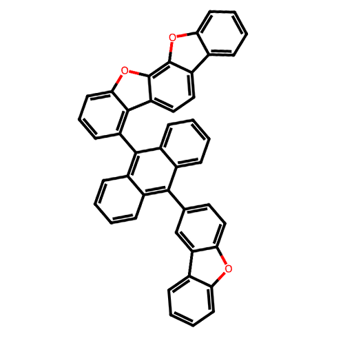 c1ccc2c(c1)oc1ccc(-c3c4ccccc4c(-c4cccc5oc6c(ccc7c8ccccc8oc76)c45)c4ccccc34)cc12